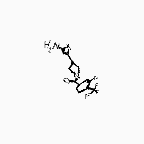 Nc1cc(C2CCN(C(=O)c3ccc(C(F)(F)F)c(F)c3)C2)no1